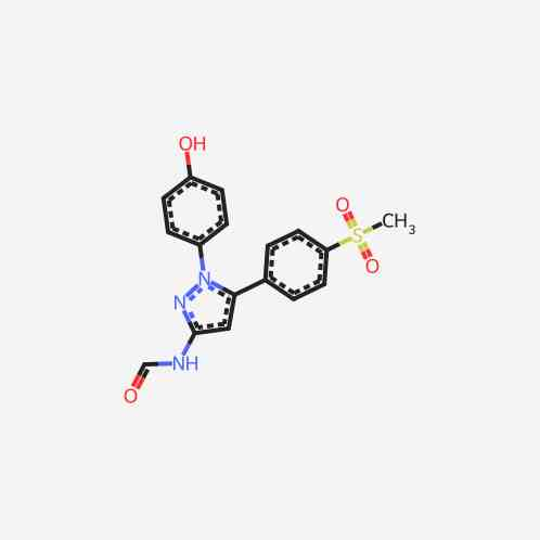 CS(=O)(=O)c1ccc(-c2cc(NC=O)nn2-c2ccc(O)cc2)cc1